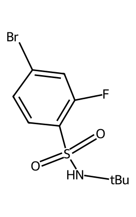 CC(C)(C)NS(=O)(=O)c1ccc(Br)cc1F